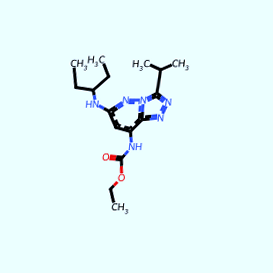 CCOC(=O)Nc1cc(NC(CC)CC)nn2c(C(C)C)nnc12